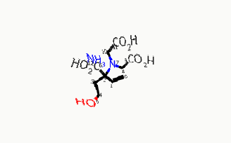 C=CC(CCO)(C(=O)O)N(CC(=O)O)CC(=O)O.N